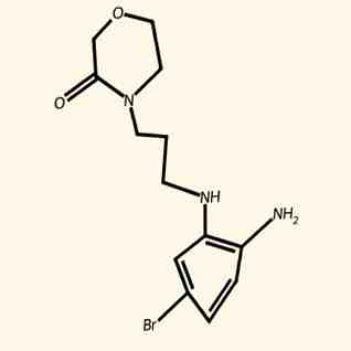 Nc1ccc(Br)cc1NCCCN1CCOCC1=O